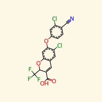 N#Cc1ccc(Oc2cc3c(cc2Cl)C=C(C(=O)O)C(C(F)(F)F)O3)cc1Cl